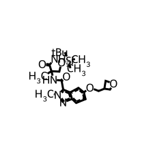 Cn1nc2ccc(OCC3COC3)cc2c1C(=O)NC(C)(CO[Si](C)(C)C(C)(C)C)C(N)=O